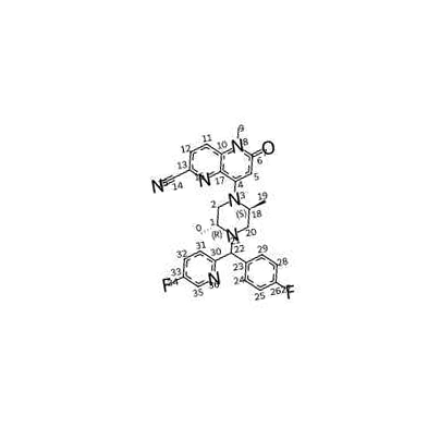 C[C@@H]1CN(c2cc(=O)n(C)c3ccc(C#N)nc23)[C@@H](C)CN1C(c1ccc(F)cc1)c1ccc(F)cn1